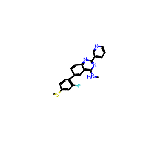 CNc1nc(-c2cccnc2)nc2ccc(-c3ccc(SC)cc3F)cc12